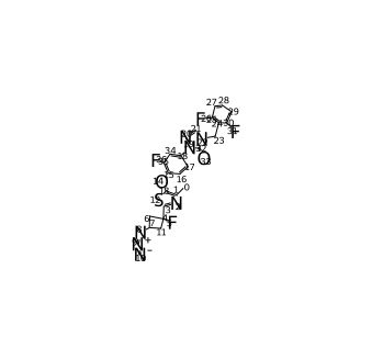 Cc1nc(C2(F)CC(N=[N+]=[N-])C2)sc1Oc1ccc(-n2ncn(Cc3c(F)cccc3F)c2=O)cc1F